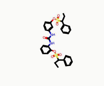 CCC(c1ccccc1)S(=O)(=O)Oc1cccc(NC(=O)Nc2ccccc2OS(=O)(=O)C(CC)c2ccccc2)c1